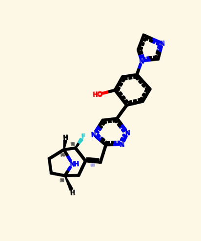 Oc1cc(-n2ccnc2)ccc1-c1cnc(/C=C2/C[C@@H]3CC[C@@H](N3)[C@H]2F)nn1